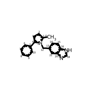 Cc1ccc(-c2ccccc2)n1Cc1ccc2[nH]cnc2c1